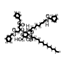 CCCCCCCCCCCCCC(=O)O[C@H]1[C@H](O)[C@@H](CO)O[C@H](OC(CC(=O)OCc2ccccc2)CC(=O)OCc2ccccc2)[C@@H]1NC(=O)CCCCCCCNC(=O)c1ccccc1